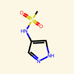 CS(=O)(=O)Nc1cn[nH]c1